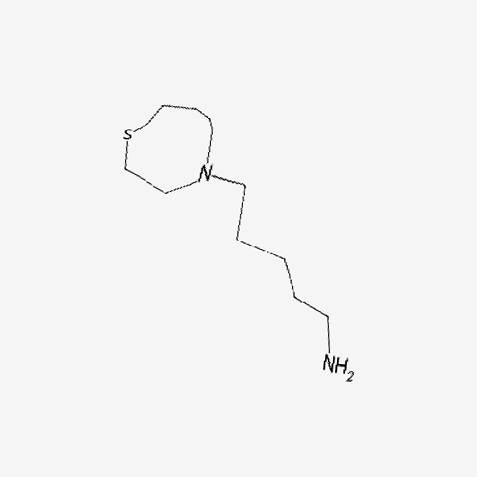 NCCCCCN1CCSCC1